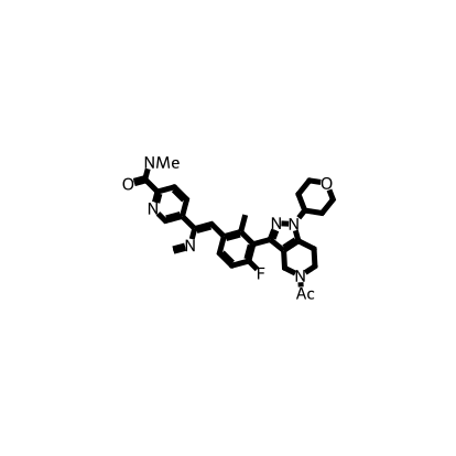 C=N/C(=C\c1ccc(F)c(-c2nn(C3CCOCC3)c3c2CN(C(C)=O)CC3)c1C)c1ccc(C(=O)NC)nc1